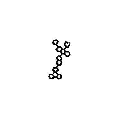 c1ccc(-c2ccc3c(-c4ccc5cc(-c6ccc7c8ccccc8c8ccccc8c7c6)ccc5c4)c4ccccc4c(-c4ccncc4)c3c2)cc1